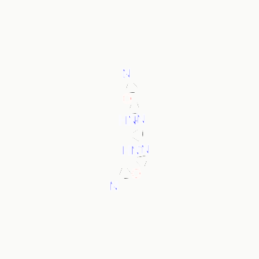 CN(C)Cc1cccc(Oc2ccc3nc(-c4ccc(-c5nc6ccc(Oc7cccc(CN(C)C)c7)cc6[nH]5)cc4)[nH]c3c2)c1